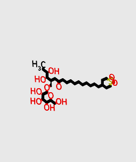 CC[C@@H](O)[C@@H](O)[C@H](COC1OC(CO)C(O)C(O)C1O)CC(=O)CCCCCCCCCCC1CCS(=O)(=O)CC1